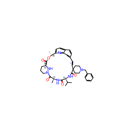 CC(C)[C@@H]1NC(=O)C2(/C=C/c3ccc4ccc(nc4c3)[C@@H](C)OC(=O)[C@@H]3CCCN(N3)C(=O)[C@H](C)NC1=O)CCN(Cc1ccccc1)CC2